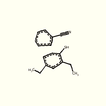 CCc1ccc(S)c(CC)c1.N#Cc1ccccc1